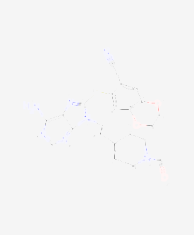 N#Cc1cc2c(cc1Sc1nc3c(N)ncnc3n1CCC1CCN(C=O)CC1)OCCO2